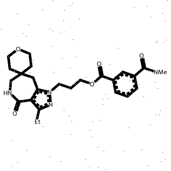 CCc1nn(CCCOC(=O)c2cccc(C(=O)NC)c2)c2c1C(=O)NCC1(CCOCC1)C2